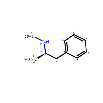 CCOC(=O)[C@H](Cc1ccccc1)NC=O